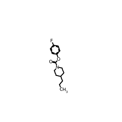 CCCC1CCN(C(=O)Oc2ccc(F)cc2)CC1